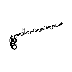 C#CCOCCOCCOCCOCCOCCOCCNOCC[C@@H](C)[C@H]1CC[C@H]2[C@@H]3CC=C4CCCC[C@]4(C)[C@H]3CC[C@]12C